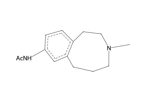 CC(=O)Nc1ccc2c(c1)CCCN(C)CC2